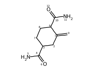 C=C1CC(C(N)=O)CCC1C(N)=O